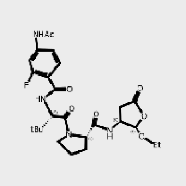 CCO[C@@H]1OC(=O)C[C@@H]1NC(=O)[C@@H]1CCCN1C(=O)[C@@H](NC(=O)c1ccc(NC(C)=O)cc1F)C(C)(C)C